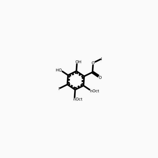 CCCCCCCCc1c(I)c(O)c(O)c(C(=O)OI)c1CCCCCCCC